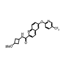 COC1CC(NC(=O)c2ccc3cc(Oc4ccc(C(F)(F)F)cn4)ccc3n2)C1